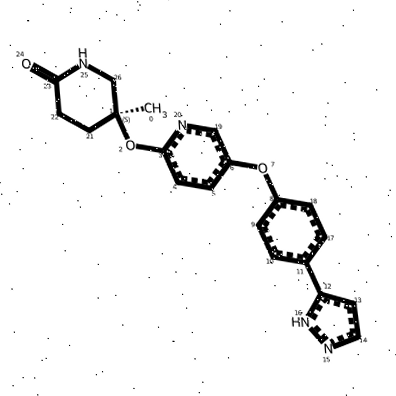 C[C@]1(Oc2ccc(Oc3ccc(-c4ccn[nH]4)cc3)cn2)CCC(=O)NC1